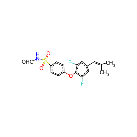 CC(C)=Cc1cc(F)c(Oc2ccc(S(=O)(=O)NC=O)cc2)c(F)c1